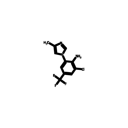 Cc1cn(-c2cc(C(F)(F)F)cc(Cl)c2N)cn1